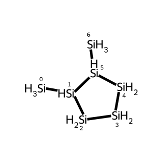 [SiH3][SiH]1[SiH2][SiH2][SiH2][SiH]1[SiH3]